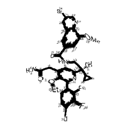 CCOc1c(CC(N)=O)cc([C@@](O)(CNC(=O)c2cc(OC)c3ncc(Br)cc3c2)C2CC2)nc1-c1ccc(Cl)c(F)c1F